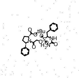 CC(C)(C)OC(=O)[C@@H]1CC[C@H](c2ccccc2)N1C(=O)COS(=O)(=O)C(Cc1ccccc1)NC(N)=O